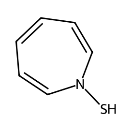 SN1C=CC=CC=C1